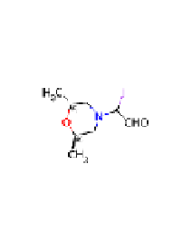 C[C@@H]1CN(C(I)C=O)C[C@@H](C)O1